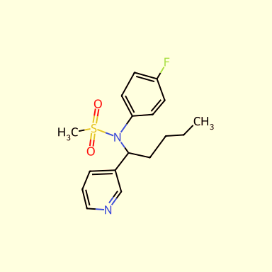 CCCCC(c1cccnc1)N(c1ccc(F)cc1)S(C)(=O)=O